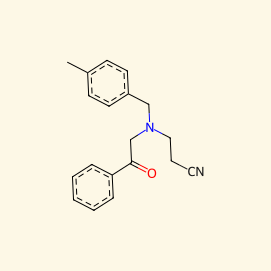 Cc1ccc(CN(CCC#N)CC(=O)c2ccccc2)cc1